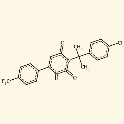 CC(C)(c1ccc(Cl)cc1)n1c(=O)cc(-c2ccc(C(F)(F)F)cc2)[nH]c1=O